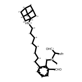 CCCC(C=O)N(C)Cc1c(C=O)cccc1CCCCCCCCNC12CC3CC4CC(C1)C432